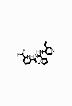 C=Cc1cnccc1N/C(=N/C(=C)C1C=CC=C(C(F)F)N1)c1cccn1C